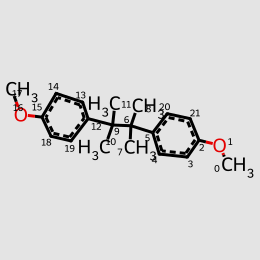 COc1ccc(C(C)(C)C(C)(C)c2ccc(OC)cc2)cc1